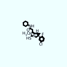 CN1C(CC(=O)NC2CCCCC2)=C2[C@@H]3C[C@]3(c3cc(Cl)ccc3F)CN2C1S